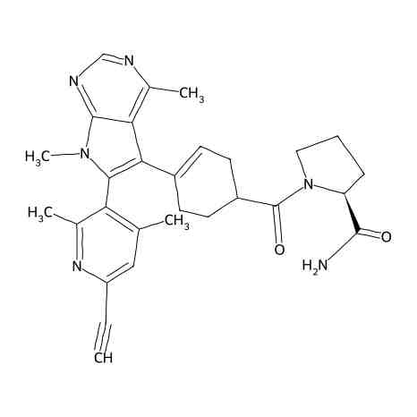 C#Cc1cc(C)c(-c2c(C3=CCC(C(=O)N4CCC[C@H]4C(N)=O)CC3)c3c(C)ncnc3n2C)c(C)n1